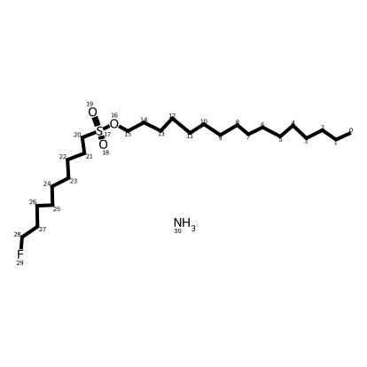 CCCCCCCCCCCCCCCCOS(=O)(=O)CCCCCCCCCF.N